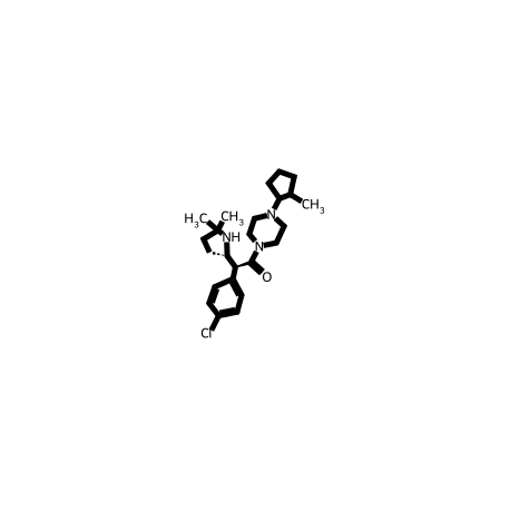 CC1CCCC1N1CCN(C(=O)[C@@H](c2ccc(Cl)cc2)[C@@H]2CCC(C)(C)N2)CC1